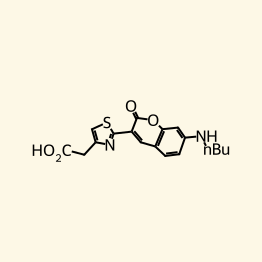 CCCCNc1ccc2cc(-c3nc(CC(=O)O)cs3)c(=O)oc2c1